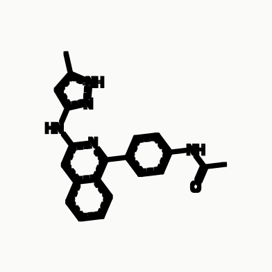 CC(=O)Nc1ccc(-c2nc(Nc3cc(C)[nH]n3)cc3ccccc23)cc1